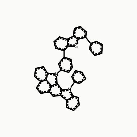 c1ccc(-c2cccc3c2sc2c(-c4cccc(-n5c6cccc7ccc8cc9c%10ccccc%10n(-c%10ccccc%10)c9c5c8c76)c4)cccc23)cc1